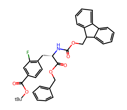 CC(C)(C)OC(=O)c1ccc(C[C@H](NC(=O)OCC2c3ccccc3-c3ccccc32)C(=O)OCc2ccccc2)c(F)c1